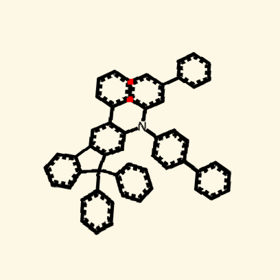 c1ccc(-c2ccc(N(c3cccc(-c4ccccc4)c3)c3cc4c(cc3-c3ccccc3)-c3ccccc3C4(c3ccccc3)c3ccccc3)cc2)cc1